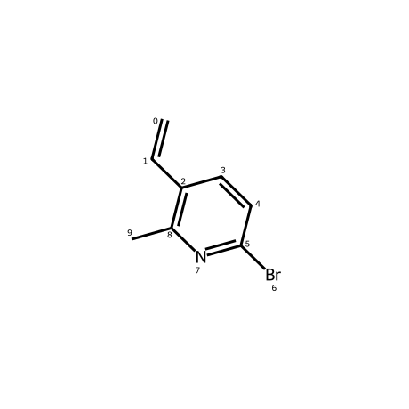 C=Cc1ccc(Br)nc1C